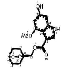 COc1cc(O)cc2[nH]cc(C(=O)OCC34CCN(CC3)CC4)c12